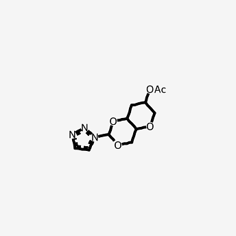 CC(=O)OC1COC2COC(n3ccnn3)OC2C1